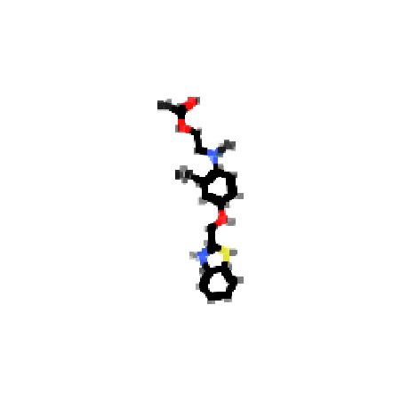 CCC(=O)OCCN(C(C)=O)c1ccc(OCc2nc3ccccc3s2)cc1C